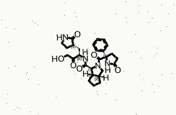 O=C1CC[C@@](C(=O)N2C[C@@H]3CCC[C@@H]3[C@H]2C(=O)N[C@H](C[C@@H]2CCNC2=O)C(=O)CO)(c2ccccc2)N1